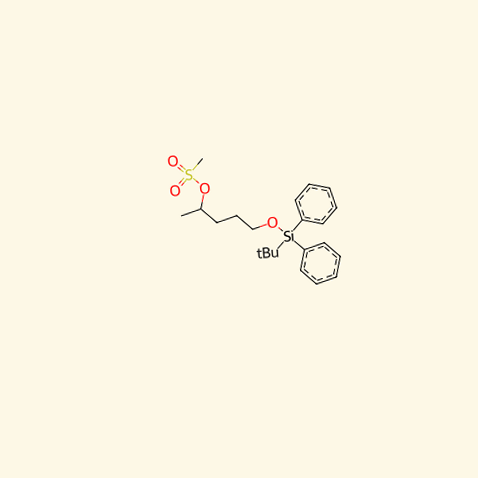 CC(CCCO[Si](c1ccccc1)(c1ccccc1)C(C)(C)C)OS(C)(=O)=O